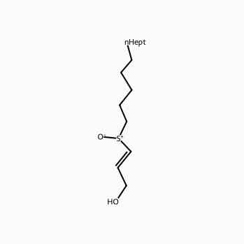 CCCCCCCCCCCC[S+]([O-])C=CCO